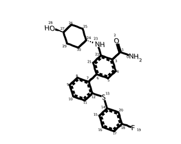 NC(=O)c1ccc(-c2ccccc2Sc2cccc(F)c2)cc1N[C@H]1CC[C@H](O)CC1